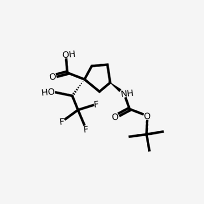 CC(C)(C)OC(=O)N[C@@H]1CC[C@@](C(=O)O)(C(O)C(F)(F)F)C1